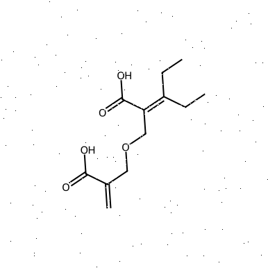 C=C(COCC(C(=O)O)=C(CC)CC)C(=O)O